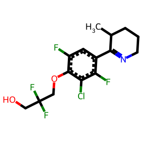 CC1CCCN=C1c1cc(F)c(OCC(F)(F)CO)c(Cl)c1F